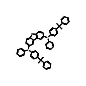 CC(C)(c1ccccc1)c1ccc(N(c2ccccc2)c2ccc3oc4ccc(N(c5ccccc5)c5ccc(C(C)(C)c6ccccc6)cc5)cc4c3c2)cc1